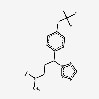 CN(C)CCC(c1ccc(OC(F)(F)F)cc1)n1ncnn1